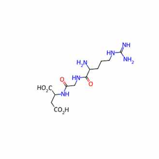 N=C(N)NCCCC(N)C(=O)NCC(=O)NC(CC(=O)O)C(=O)O